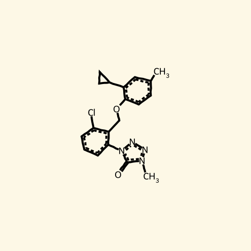 Cc1ccc(OCc2c(Cl)cccc2-n2nnn(C)c2=O)c(C2CC2)c1